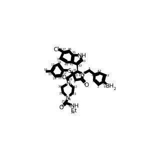 Bc1ccc(CN2C(=O)CC(Sc3ccc(C)cc3)(C(=O)N3CCN(C(=O)NCC)CC3)[C@H]2c2c[nH]c3cc(Cl)ccc23)cc1